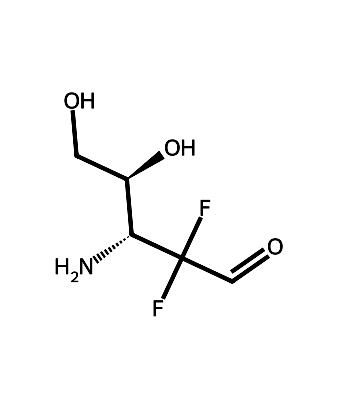 N[C@H]([C@H](O)CO)C(F)(F)C=O